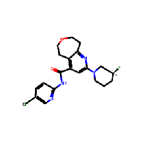 O=C(Nc1ccc(Cl)cn1)c1cc(N2CCC[C@H](F)C2)nc2c1CCOCC2